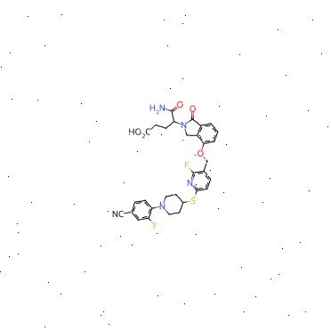 N#Cc1ccc(N2CCC(Sc3ccc(COc4cccc5c4CN(C(CCC(=O)O)C(N)=O)C5=O)c(F)n3)CC2)c(F)c1